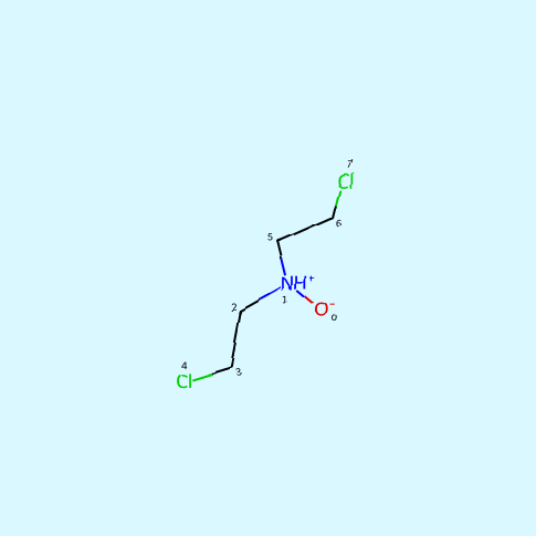 [O-][NH+](CCCl)CCCl